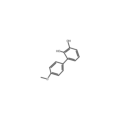 COc1ccc(-c2cccc(O)c2O)cc1